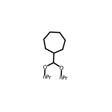 CCCOC(OCCC)C1CCCCCC1